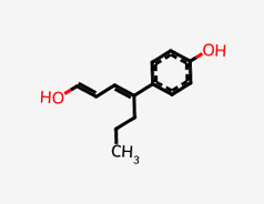 CCC/C(=C\C=C\O)c1ccc(O)cc1